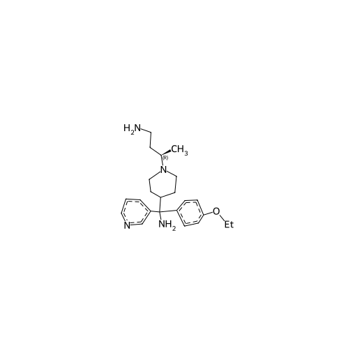 CCOc1ccc(C(N)(c2cccnc2)C2CCN([C@H](C)CCN)CC2)cc1